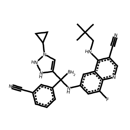 BC(Nc1cc(F)c2ncc(C#N)c(NCC(C)(C)C)c2c1)(C1=CN(C2CC2)NN1)c1cccc(C#N)c1